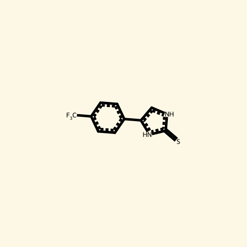 FC(F)(F)c1ccc(-c2c[nH]c(=S)[nH]2)cc1